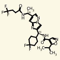 CC(C)c1oncc1C(=O)N[C@H](c1cn2ncc([C@@H](C)NC(=O)CCC(F)(F)F)cc2n1)C1CCC(F)(F)CC1